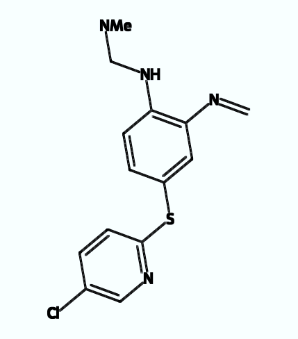 C=Nc1cc(Sc2ccc(Cl)cn2)ccc1NCNC